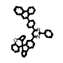 c1ccc(-c2nc(-c3ccc(-c4cc5ccccc5c5ccccc45)cc3)cc(-c3ccc4c(c3)C3(c5ccccc5Oc5ccccc53)c3ccccc3-4)n2)cc1